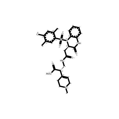 COC(=O)[C@H](CNC(=O)C[C@@H]1C(=O)Nc2ccccc2N1S(=O)(=O)c1cc(C)c(Cl)cc1C)C1=CCN(C)CC1